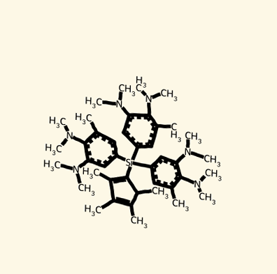 CC1=C(C)C(C)C([Si](c2cc(C)c(N(C)C)c(N(C)C)c2)(c2cc(C)c(N(C)C)c(N(C)C)c2)c2cc(C)c(N(C)C)c(N(C)C)c2)=C1C